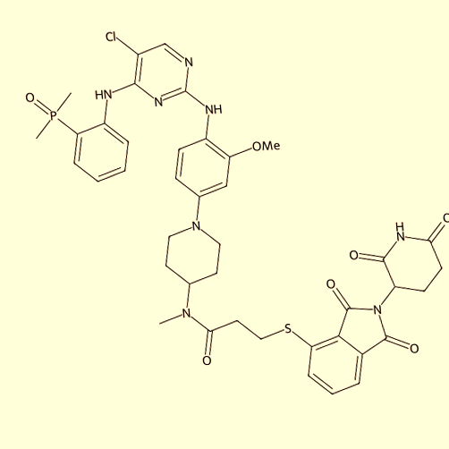 COc1cc(N2CCC(N(C)C(=O)CCSc3cccc4c3C(=O)N(C3CCC(=O)NC3=O)C4=O)CC2)ccc1Nc1ncc(Cl)c(Nc2ccccc2P(C)(C)=O)n1